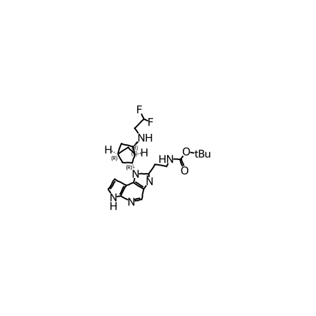 CC(C)(C)OC(=O)NCCc1nc2cnc3[nH]ccc3c2n1[C@@H]1C[C@@H]2C[C@H]1[C@H](NCC(F)F)C2